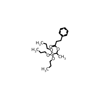 CCCO[Si](OCCC)(OCCC)C(C)OC(=O)CCc1ccccc1